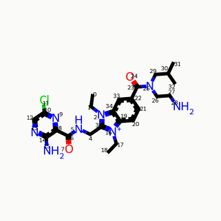 CCn1c(CNC(=O)c2nc(Cl)cnc2N)[n+](CC)c2ccc(C(=O)N(CCN)CC(C)C)cc21